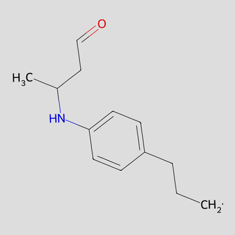 [CH2]CCc1ccc(NC(C)CC=O)cc1